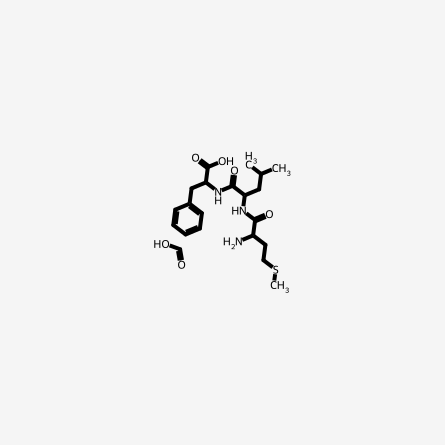 CSCCC(N)C(=O)NC(CC(C)C)C(=O)NC(Cc1ccccc1)C(=O)O.O=CO